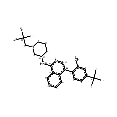 Oc1cc(C(F)(F)F)ccc1-c1nnc(N[C@@H]2CCCN(CC(F)(F)F)C2)c2cnccc12